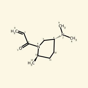 C=CC(=O)N1C[C@H](N(C)C)CC[C@H]1C